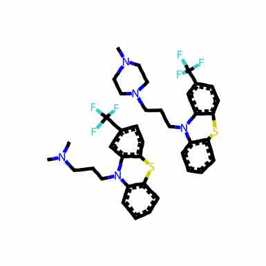 CN(C)CCCN1c2ccccc2Sc2ccc(C(F)(F)F)cc21.CN1CCN(CCCN2c3ccccc3Sc3ccc(C(F)(F)F)cc32)CC1